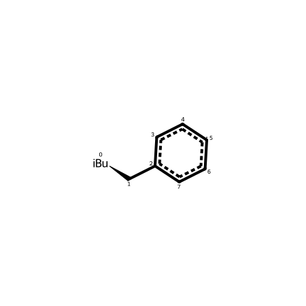 CC[C@H](C)Cc1cc[c]cc1